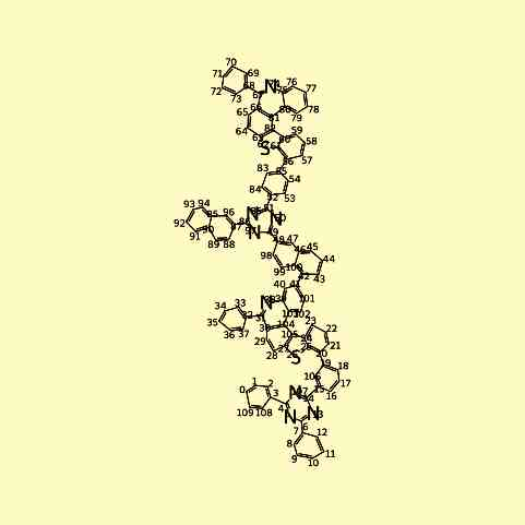 c1ccc(-c2nc(-c3ccccc3)nc(-c3cccc(-c4cccc5c4sc4ccc6c(-c7ccccc7)nc7cc(-c8cccc9cc(-c%10nc(-c%11ccc(-c%12cccc%13c%12sc%12ccc%14c(-c%15ccccc%15)nc%15ccccc%15c%14c%12%13)cc%11)nc(-c%11ccc%12ccccc%12c%11)n%10)ccc89)ccc7c6c45)c3)n2)cc1